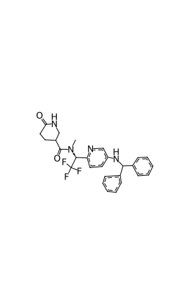 CN(C(=O)C1CCC(=O)NC1)[C@@H](c1ccc(NC(c2ccccc2)c2ccccc2)cn1)C(F)(F)F